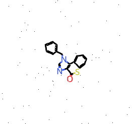 O=c1sc2ccccc2c2c1ncn2Cc1ccccc1